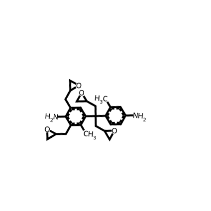 Cc1cc(N)ccc1C(CC1CO1)(CC1CO1)c1cc(CC2CO2)c(N)c(CC2CO2)c1C